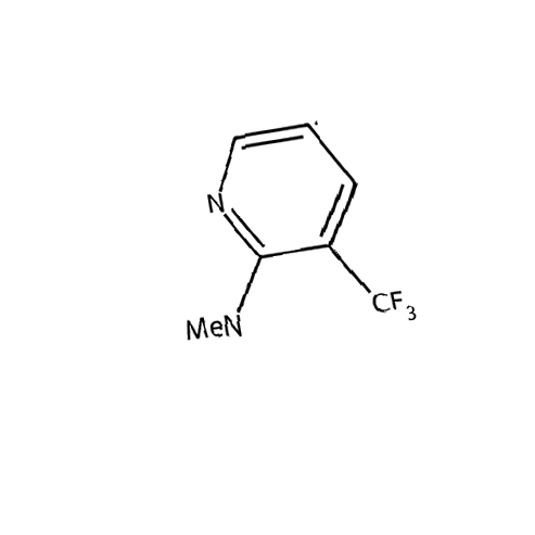 CNc1nc[c]cc1C(F)(F)F